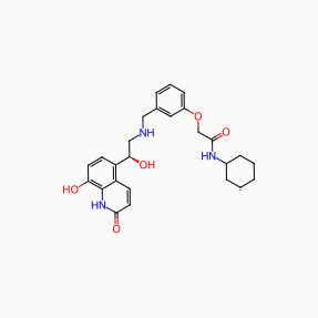 O=C(COc1cccc(CNC[C@@H](O)c2ccc(O)c3[nH]c(=O)ccc23)c1)NC1C[CH]CCC1